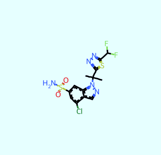 CC(C)(c1nnc(C(F)F)s1)n1ncc2c(Cl)cc(S(N)(=O)=O)cc21